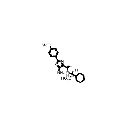 COc1ccc(-c2nc(C(=O)N[C@](C)(C(=O)O)C3CCCCC3)c(N)s2)cc1